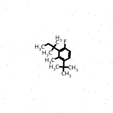 CCC(C)(C)c1c(F)ccc(C(C)(C)C)c1C